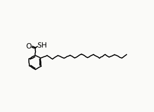 CCCCCCCCCCCCCCCc1ccccc1C(=O)S